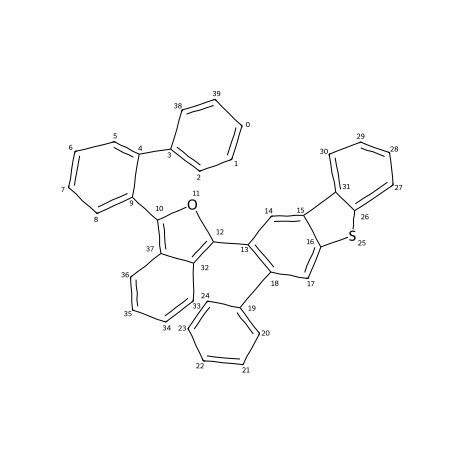 c1ccc(-c2ccccc2-c2oc(-c3cc4c(cc3-c3ccccc3)sc3ccccc34)c3ccccc23)cc1